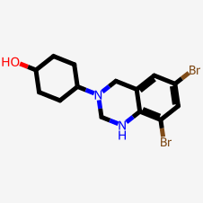 OC1CCC(N2CNc3c(Br)cc(Br)cc3C2)CC1